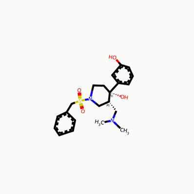 CN(C)C[C@@H]1CN(S(=O)(=O)Cc2ccccc2)CC[C@@]1(O)c1cccc(O)c1